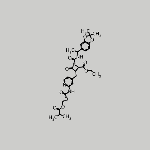 CCOC(=O)C1[C@@H](Cc2ccnc(NC(=O)OCOC(=O)C(C)C)c2)C(=O)N1C(=O)NC(C)c1ccc2c(c1)OC(C)(C)O2